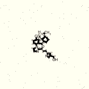 COc1cccc([C@H]2O[C@H](CCn3cc(CO)cn3)c3nccn3-c3ccc(Cl)cc32)c1OC